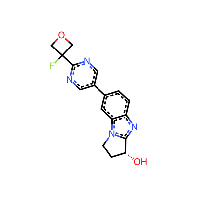 O[C@@H]1CCn2c1nc1ccc(-c3cnc(C4(F)COC4)nc3)cc12